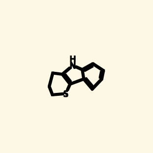 c1ccc2c3c([nH]c2c1)CCCS3